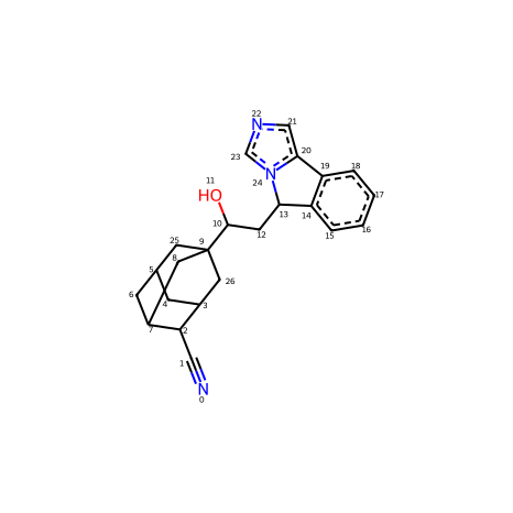 N#CC1C2CC3CC1CC(C(O)CC1c4ccccc4-c4cncn41)(C3)C2